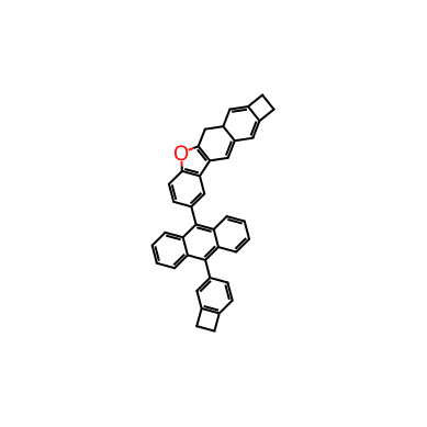 C1=C2CCC2=CC2Cc3oc4ccc(-c5c6ccccc6c(-c6ccc7c(c6)CC7)c6ccccc56)cc4c3C=C12